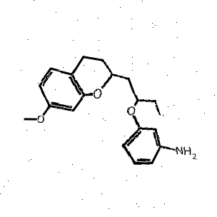 [CH2]CC(CC1CCc2ccc(OC)cc2O1)Oc1cccc(N)c1